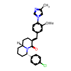 COc1cc(/C=C2\CC[C@H]3CCC[C@@H](c4ccc(Cl)cc4)N3C2=O)ccc1-n1cnc(C)c1